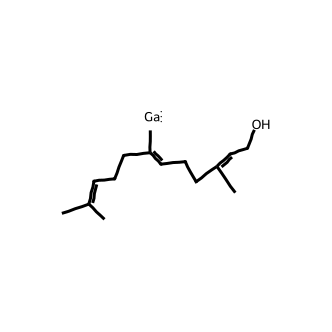 CC(C)=CCCC(C)=CCCC(C)=CCO.[Ga]